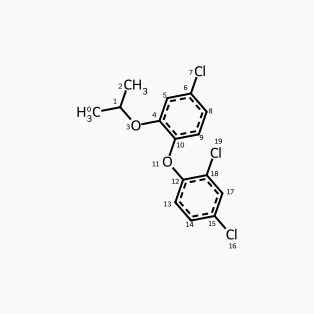 CC(C)Oc1cc(Cl)ccc1Oc1ccc(Cl)cc1Cl